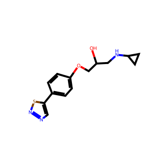 OC(CNC1CC1)COc1ccc(-c2cnns2)cc1